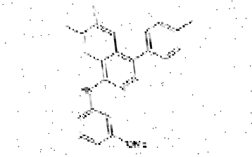 COc1cccc(Nc2nnc(-c3ccc(C)cc3)c3cc(C)c(C)cc23)c1